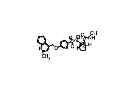 Cc1cc(COc2ccc(S(=O)(=O)N(C)[C@@H]3[C@@H]4CC[C@@H](C4)[C@@H]3C(=O)NO)cc2)c2ccccc2n1